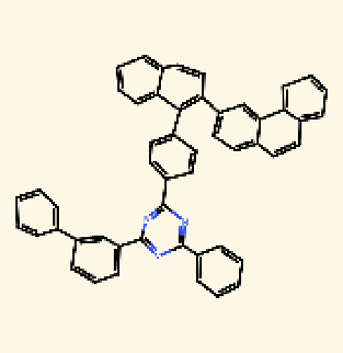 c1ccc(-c2cccc(-c3nc(-c4ccccc4)nc(-c4ccc(-c5c(-c6ccc7ccc8ccccc8c7c6)ccc6ccccc56)cc4)n3)c2)cc1